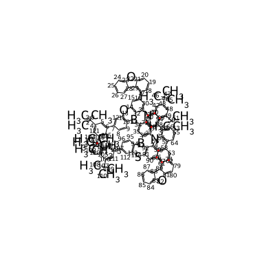 CC(C)(C)c1cc(-c2ccc3c(c2)Oc2cc(-c4cccc5oc6ccccc6c45)cc4c2B3c2cc3c(cc2N4c2cc(C(C)(C)C)cc(C(C)(C)C)c2)N(c2c(-c4ccccc4)cccc2-c2ccccc2)c2cc(-c4cccc5oc6ccccc6c45)cc4c2B3c2ccc(-c3cc(C(C)(C)C)cc(C(C)(C)C)c3)cc2S4)cc(C(C)(C)C)c1